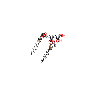 CCCCCCCCCCSSSCC(CC)OC(=O)CCN(CCCN(CCO)CCO)CCC(=O)OC(CC)CSSSCCCCCCCCCC